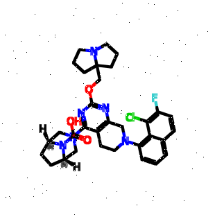 O=C(O)N1[C@@H]2CC[C@H]1CN(c1nc(OCC34CCCN3CCC4)nc3c1CCN(c1cccc4ccc(F)c(Cl)c14)C3)C2